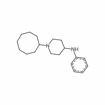 c1ccc(NC2CCN(C3CCCCCCC3)CC2)cc1